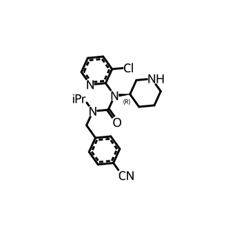 CC(C)N(Cc1ccc(C#N)cc1)C(=O)N(c1ncccc1Cl)[C@@H]1CCCNC1